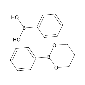 OB(O)c1ccccc1.c1ccc(B2OCCCO2)cc1